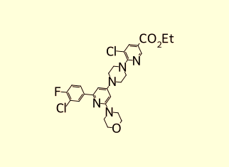 CCOC(=O)c1cnc(N2CCN(c3cc(-c4ccc(F)c(Cl)c4)nc(N4CCOCC4)c3)CC2)c(Cl)c1